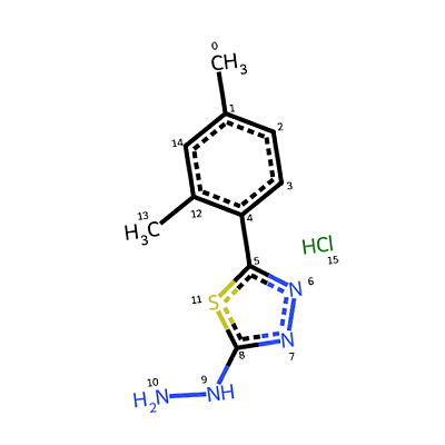 Cc1ccc(-c2nnc(NN)s2)c(C)c1.Cl